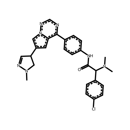 CN1CC(c2cc3c(-c4ccc(NC(=O)C(c5ccc(Cl)cc5)N(C)C)cc4)ncnn3c2)C=N1